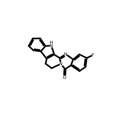 O=c1c2ccc(F)cc2nc2n1CCc1c-2[nH]c2ccccc12